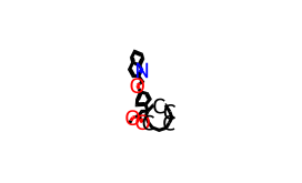 COC(=O)CC1(c2ccc(OCc3ccc4ccccc4n3)cc2)CCCCCCCCCCC1